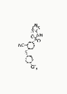 N#Cc1cc(S(=O)(=O)Nc2ncns2)ccc1Sc1ccc(C(F)(F)F)cc1